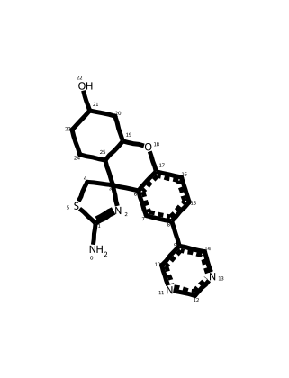 NC1=NC2(CS1)c1cc(-c3cncnc3)ccc1OC1CC(O)CCC12